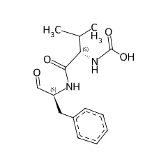 CC(C)[C@H](NC(=O)O)C(=O)N[C@H](C=O)Cc1ccccc1